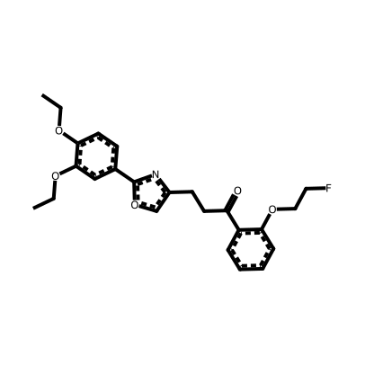 CCOc1ccc(-c2nc(CCC(=O)c3ccccc3OCCF)co2)cc1OCC